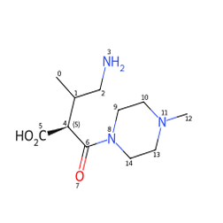 CC(CN)[C@H](C(=O)O)C(=O)N1CCN(C)CC1